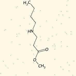 CCCCNCCC(=O)OC